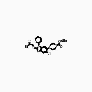 CCC(CC)COc1nc2cc(Cl)c(N3CCN(C(=O)OC(C)(C)C)CC3)cc2n1C1CCCCO1